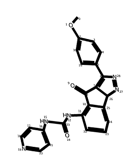 COc1ccc(C2=C3C(=O)c4c(NC(=O)Nc5ccncc5)cccc4C3N=N2)cc1